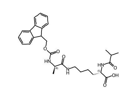 CC(C)C(=O)N[C@@H](CCCCNC(=O)[C@@H](C)NC(=O)OCC1c2ccccc2-c2ccccc21)C(=O)O